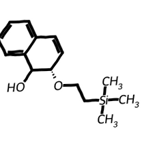 C[Si](C)(C)CCO[C@H]1C=Cc2ccccc2C1O